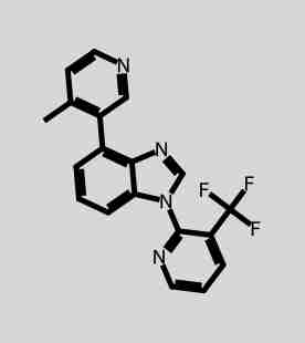 Cc1ccncc1-c1cccc2c1ncn2-c1ncccc1C(F)(F)F